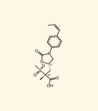 C/C=C\c1ccc(N2C[C@H](C[C@](C)(C(=O)O)S(C)(=O)=O)OC2=O)cc1